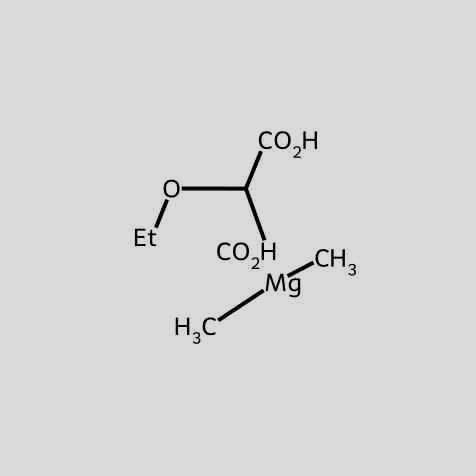 CCOC(C(=O)O)C(=O)O.[CH3][Mg][CH3]